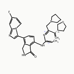 C=C(/C(CN1CCCC1)=N\C(=C/C)Nc1ccc(-c2cnc3cc(F)ccn23)c2c1C(=O)NC2)[C@H]1CCOC1